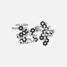 CC(C)(C)NC(=O)[C@@H]1C[C@@H]2CCCC[C@@H]2CN1C[C@@H](O)[C@H](Cc1ccccc1)NC(=O)[C@H](CC(N)=O)NC(=O)c1ccc2ccccc2n1.CCN1CCCC1CNC(=O)c1cc(S(N)(=O)=O)ccc1OC.COc1cc([C@@H]2c3cc4c(cc3[C@@H](O[C@@H]3O[C@@H]5CO[C@@H](C)O[C@H]5[C@H](O)[C@H]3O)[C@H]3COC(=O)[C@H]23)OCO4)cc(OC)c1O